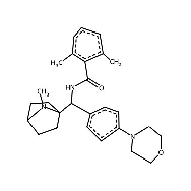 Cc1cccc(C)c1C(=O)NC(c1ccc(N2CCOCC2)cc1)C12CCC(CC1)N2C